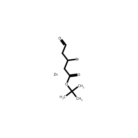 CC(C)(C)OC(=O)CC(Br)[CH]C=O.[Zn]